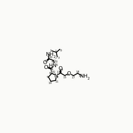 CC(C)C[C@H](NC(=O)[C@@H]1CCCN1C(=O)COCCN)C(N)=O